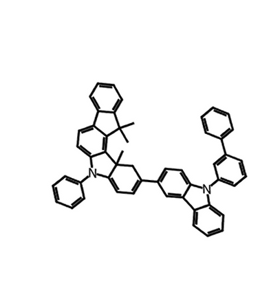 CC12CC(c3ccc4c(c3)c3ccccc3n4-c3cccc(-c4ccccc4)c3)=CC=C1N(c1ccccc1)c1ccc3c(c12)C(C)(C)c1ccccc1-3